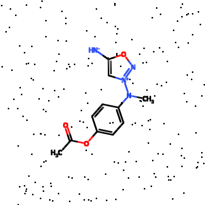 CC(=O)Oc1ccc(N(C)[n+]2cc([NH-])on2)cc1